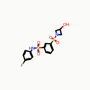 O=S(=O)(Nc1ccc(F)cc1)c1cccc(S(=O)(=O)N2CC(O)C2)c1